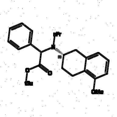 CCCN(C(C(=O)OC(C)(C)C)c1ccccc1)[C@H]1CCc2c(cccc2OC)C1